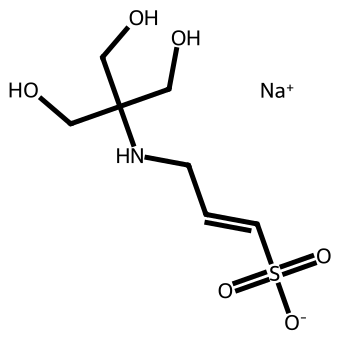 O=S(=O)([O-])C=CCNC(CO)(CO)CO.[Na+]